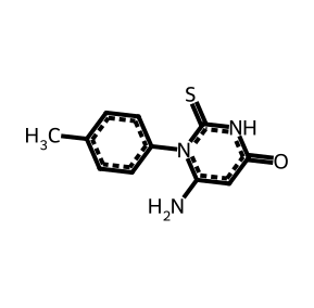 Cc1ccc(-n2c(N)cc(=O)[nH]c2=S)cc1